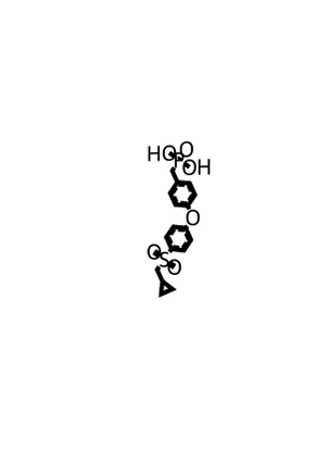 O=P(O)(O)Cc1ccc(Oc2ccc(S(=O)(=O)CC3CC3)cc2)cc1